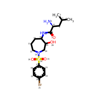 CC(C)C[C@H](N)C(=O)NC1CCCN(S(=O)(=O)c2ccc(Br)cc2)CC1O